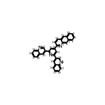 c1ccc2cc3nc(-c4cc(-c5cnc6ccccc6c5)nc(-c5cnc6ccccc6c5)c4)ccc3cc2c1